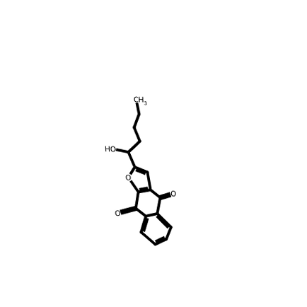 CCCCC(O)c1cc2c(o1)C(=O)c1ccccc1C2=O